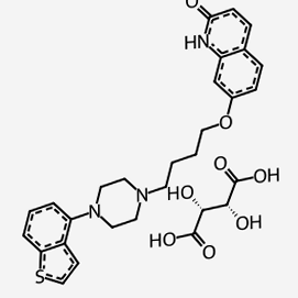 O=C(O)[C@H](O)[C@@H](O)C(=O)O.O=c1ccc2ccc(OCCCCN3CCN(c4cccc5sccc45)CC3)cc2[nH]1